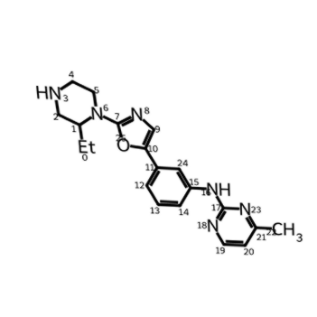 CCC1CNCCN1c1ncc(-c2cccc(Nc3nccc(C)n3)c2)o1